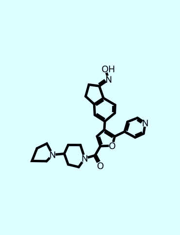 O=C(c1cc(-c2ccc3c(c2)CCC3=NO)c(-c2ccncc2)o1)N1CCC(N2CCCC2)CC1